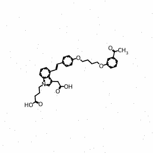 CC(=O)c1cccc(OCCCCOc2ccc(/C=C/c3cccc4c3c(CC(=O)O)cn4CCCC(=O)O)cc2)c1